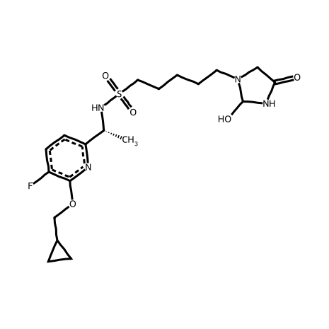 C[C@@H](NS(=O)(=O)CCCCCN1CC(=O)NC1O)c1ccc(F)c(OCC2CC2)n1